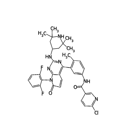 Cc1ccc(NC(=O)c2ccc(Cl)nc2)cc1-c1nc(NC2CC(C)(C)NC(C)(C)C2)nc2c1ccc(=O)n2-c1c(F)cccc1F